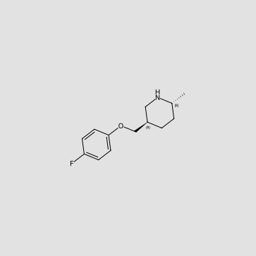 C[C@@H]1CC[C@@H](COc2ccc(F)cc2)CN1